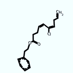 C=CC/C=C(Cl)\C=C/CCC(=O)OCCc1ccccc1